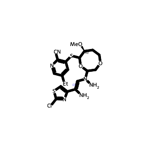 CCc1cnc(C#N)c(SC2OC(N(N)/C=C(\N)c3csc(Cl)n3)COCC[C@@H]2OC)c1